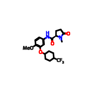 COc1ccc(NC(=O)[C@H]2CCC(=O)N2C)cc1OC1CCC(C(F)(F)F)CC1